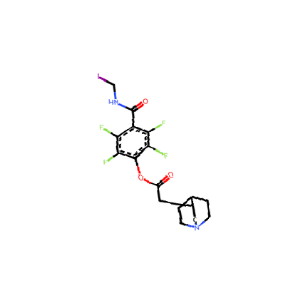 O=C(CC1CN2CCC1CC2)Oc1c(F)c(F)c(C(=O)NCI)c(F)c1F